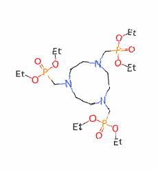 CCOP(=O)(CN1CCN(CP(=O)(OCC)OCC)CCN(CP(=O)(OCC)OCC)CC1)OCC